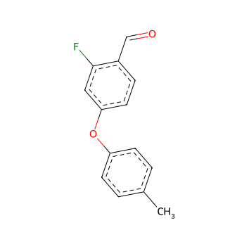 Cc1ccc(Oc2ccc(C=O)c(F)c2)cc1